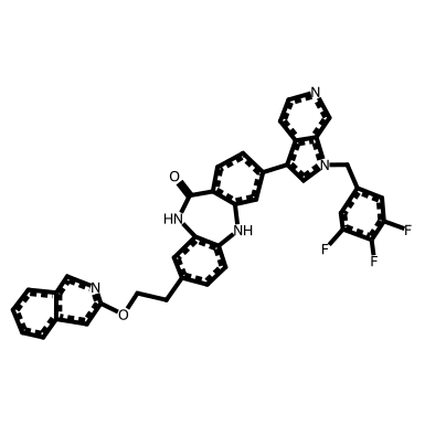 O=C1Nc2cc(CCOc3cc4ccccc4cn3)ccc2Nc2cc(-c3cn(Cc4cc(F)c(F)c(F)c4)c4cnccc34)ccc21